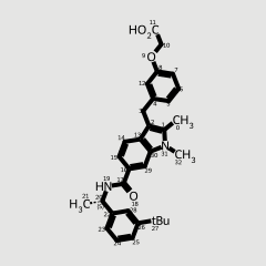 Cc1c(Cc2cccc(OCC(=O)O)c2)c2ccc(C(=O)N[C@@H](C)c3cccc(C(C)(C)C)c3)cc2n1C